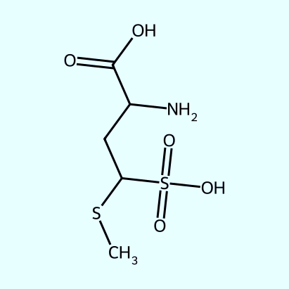 CSC(CC(N)C(=O)O)S(=O)(=O)O